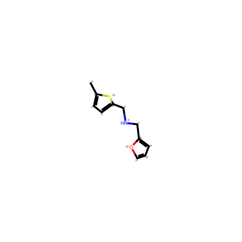 Cc1ccc(CNCc2ccco2)s1